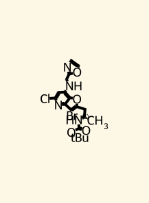 C[C@@H](Cc1oc2c(NCc3ncco3)cc(Cl)nc2c1Br)NC(=O)OC(C)(C)C